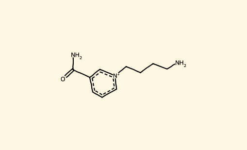 NCCCC[n+]1cccc(C(N)=O)c1